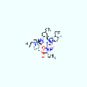 CC(NC(=O)c1c(-c2ccnn2-c2ccc(C#N)cc2)n(C)n(-c2cccc(C(F)(F)F)c2)c1=O)C(=O)OCC1CC[N+](C)(C)CC1